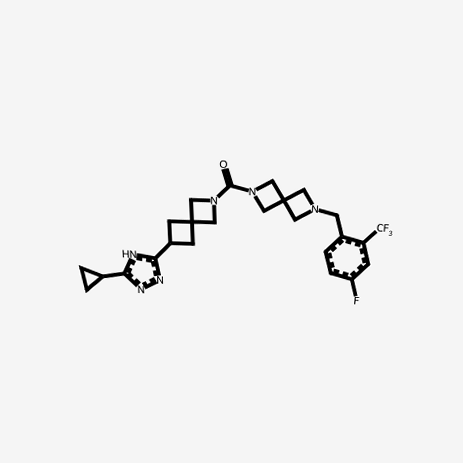 O=C(N1CC2(CC(c3nnc(C4CC4)[nH]3)C2)C1)N1CC2(CN(Cc3ccc(F)cc3C(F)(F)F)C2)C1